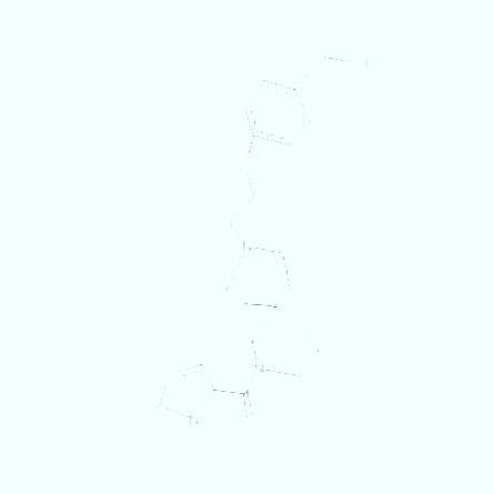 Cc1nc(C(=O)N2CCOC3(CCN(CCOc4ccc(CC=O)cc4)CC3)C2)cs1